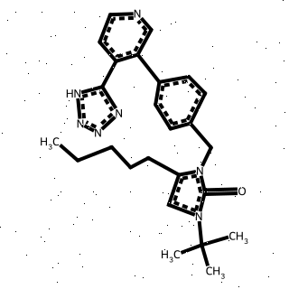 CCCCCc1cn(C(C)(C)C)c(=O)n1Cc1ccc(-c2cnccc2-c2nnn[nH]2)cc1